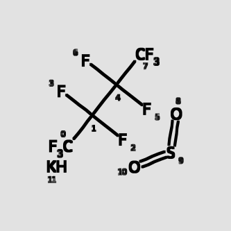 FC(F)(F)C(F)(F)C(F)(F)C(F)(F)F.O=S=O.[KH]